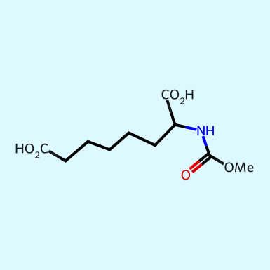 COC(=O)NC(CCCCCC(=O)O)C(=O)O